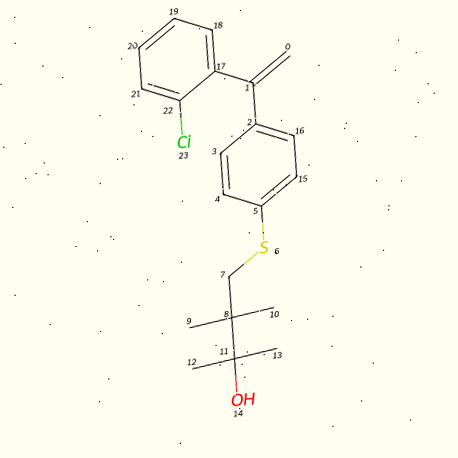 C=C(c1ccc(SCC(C)(C)C(C)(C)O)cc1)c1ccccc1Cl